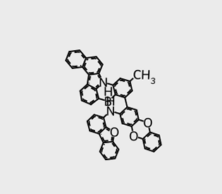 Cc1cc(-c2cc3c(cc2Nc2cccc4c2oc2ccccc24)Oc2ccccc2O3)c2c(c1)-n1c3ccc4ccccc4c3c3cccc(c31)B2